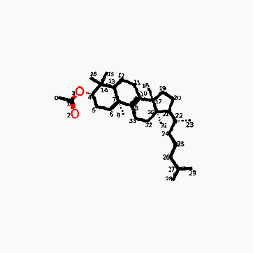 CC(=O)O[C@H]1CC[C@]2(C)C3=C(CCC2C1(C)C)[C@]1(C)CCC([C@H](C)CCCC(C)C)[C@@]1(C)CC3